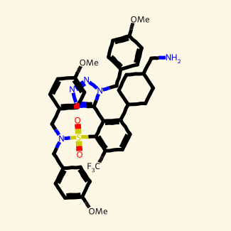 COc1ccc(CN(Cc2ccc(OC)cc2)S(=O)(=O)c2c(C(F)(F)F)ccc(C3CCC(CN)CC3)c2-c2nnnn2Cc2ccc(OC)cc2)cc1